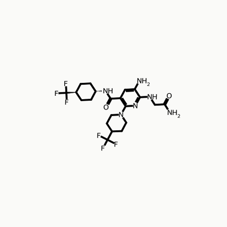 NC(=O)CNc1nc(N2CCC(C(F)(F)F)CC2)c(C(=O)N[C@H]2CC[C@H](C(F)(F)F)CC2)cc1N